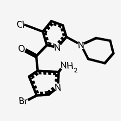 Nc1ncc(Br)cc1C(=O)c1nc(N2CCCCC2)ccc1Cl